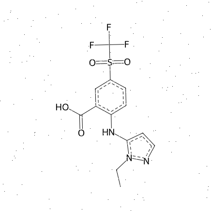 CCn1nccc1Nc1ccc(S(=O)(=O)C(F)(F)F)cc1C(=O)O